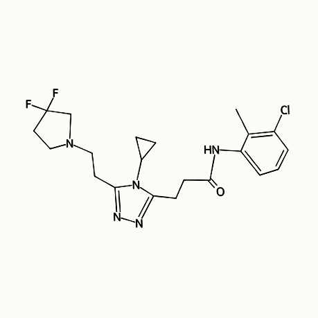 Cc1c(Cl)cccc1NC(=O)CCc1nnc(CCN2CCC(F)(F)C2)n1C1CC1